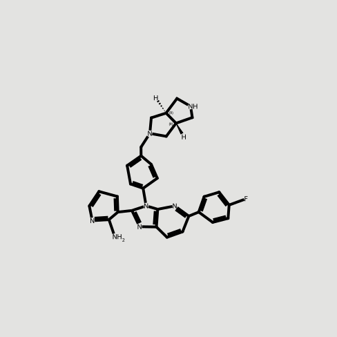 Nc1ncccc1-c1nc2ccc(-c3ccc(F)cc3)nc2n1-c1ccc(CN2C[C@H]3CNC[C@@H]3C2)cc1